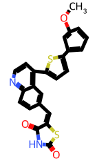 COc1cccc(-c2ccc(-c3ccnc4ccc(C=C5SC(=O)NC5=O)cc34)s2)c1